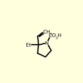 C=CC1(CC)CCCN1C(=O)O